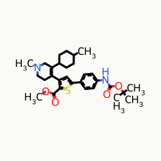 COC(=O)c1sc(-c2ccc(NC(=O)OC(C)(C)C)cc2)cc1C1=C(C2CCC(C)CC2)CN(C)CC1